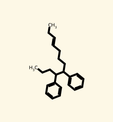 CCC=CCCCC(c1ccccc1)C(CCC)c1ccccc1